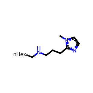 CCCCCCCNCCCc1nccn1C